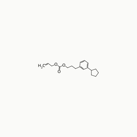 C=CCOC(=O)OCCCc1cccc(C2CCCC2)c1